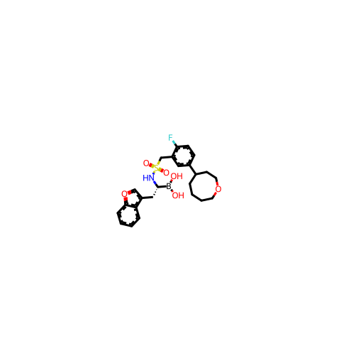 O=S(=O)(Cc1cc(C2CCCCOCC2)ccc1F)N[C@@H](Cc1coc2ccccc12)B(O)O